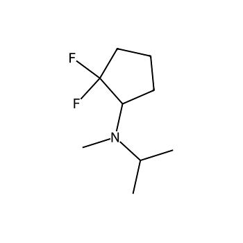 CC(C)N(C)C1CCCC1(F)F